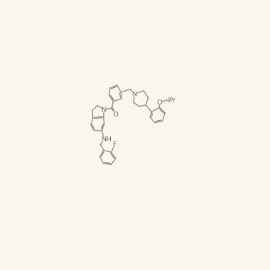 CC(C)Oc1ccccc1C1CCN(Cc2cccc(C(=O)N3CCc4ccc(NCc5ccccc5F)cc43)c2)CC1